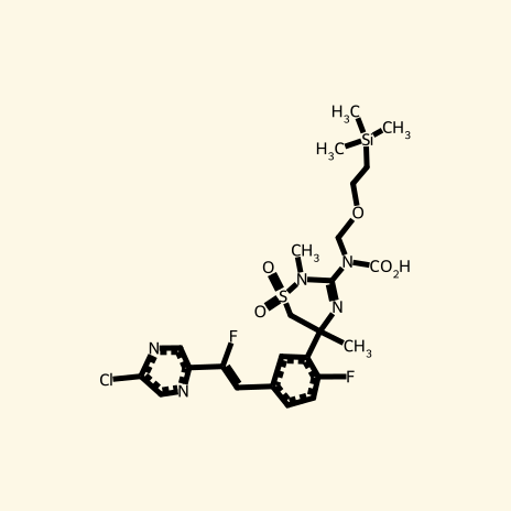 CN1C(N(COCC[Si](C)(C)C)C(=O)O)=NC(C)(c2cc(C=C(F)c3cnc(Cl)cn3)ccc2F)CS1(=O)=O